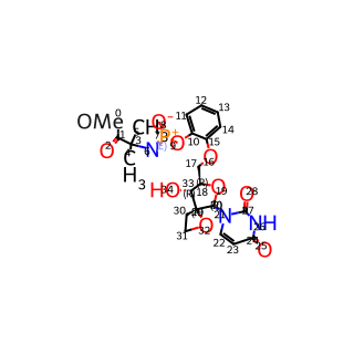 COC(=O)C(C)(C)/N=[P+](\[O-])Oc1ccccc1OC[C@H]1O[C@@H](n2ccc(=O)[nH]c2=O)[C@@]2(CCO2)[C@@H]1O